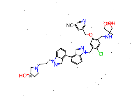 CC(CO)(CO)NCc1cc(Cl)c(Cn2ncc3c(-c4cccc5c4cnn5CCCN4CC[C@@H](O)C4)cccc32)cc1OCc1cncc(C#N)c1